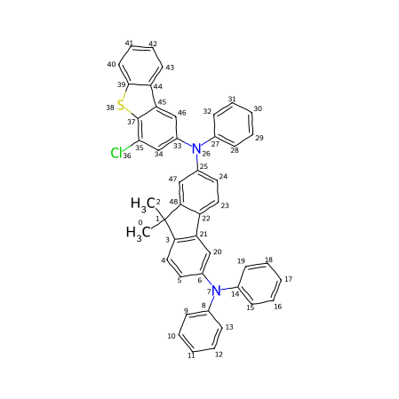 CC1(C)c2ccc(N(c3ccccc3)c3ccccc3)cc2-c2ccc(N(c3ccccc3)c3cc(Cl)c4sc5ccccc5c4c3)cc21